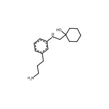 NCCCc1cccc(NCC2(O)CCCCC2)c1